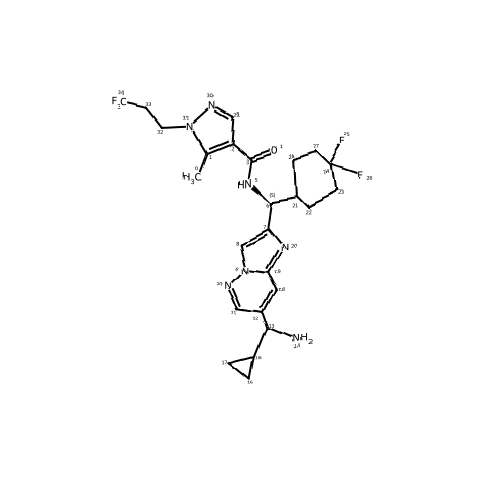 Cc1c(C(=O)N[C@H](c2cn3ncc(C(N)C4CC4)cc3n2)C2CCC(F)(F)CC2)cnn1CCC(F)(F)F